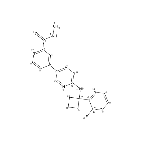 CNC(=O)c1cc(-c2cnc(NC3(c4ncccc4F)CCC3)nc2)ccn1